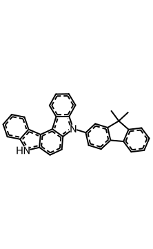 CC1(C)c2ccccc2-c2ccc(-n3c4ccccc4c4c5c(ccc43)[nH]c3ccccc35)cc21